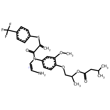 C=C(Sc1ccc(C(F)(F)F)cc1)C(=O)N(/C=C\N)c1ccc(OCC(C)OC(=O)CC(C)C)c(OC)c1